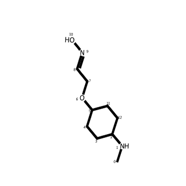 CNC1CCC(OC/C=N/O)CC1